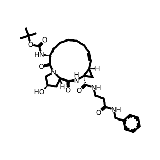 CC(C)(C)OC(=O)N[C@H]1CCCCC/C=C\[C@@H]2C[C@@]2(C(=O)NCCC(=O)NCc2ccccc2)NC(=O)[C@@H]2C[C@@H](O)CN2C1=O